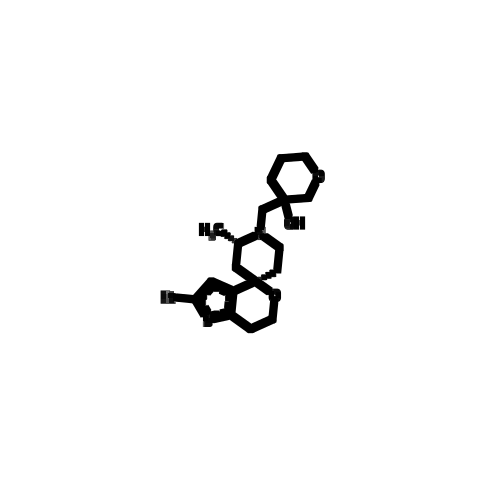 CCc1cc2c(s1)CCO[C@@]21CCN(CC2(O)CCCOC2)[C@@H](C)C1